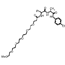 CCc1ccc(NC(=O)[C@H](C)NC(=O)C(NC(=O)CCOCCOCCOCCOCCOCCOC)C(C)C)cc1